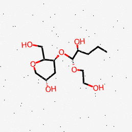 CCC[C@H](O)[C@H](OCCO)O[C@H]1C[C@H](O)COC1CO